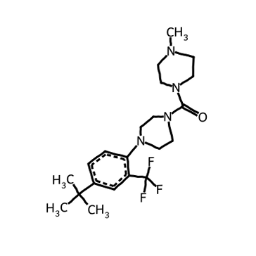 CN1CCN(C(=O)N2CCN(c3ccc(C(C)(C)C)cc3C(F)(F)F)CC2)CC1